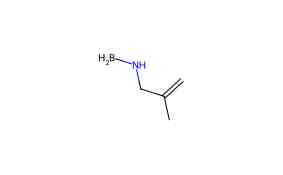 BNCC(=C)C